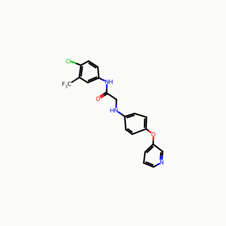 O=C(CNc1ccc(Oc2cccnc2)cc1)Nc1ccc(Cl)c(C(F)(F)F)c1